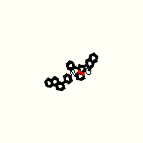 c1ccc(N(c2ccc(-c3cccc4c3ccc3ccccc34)cc2)c2ccccc2-c2ccc3oc4cc5ccccc5cc4c3c2)cc1